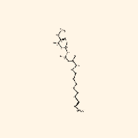 CCCCCCCC/C=C/CCCCCCCCC(C)CC(C)CC(C)CC(C)C(=O)OCCCC